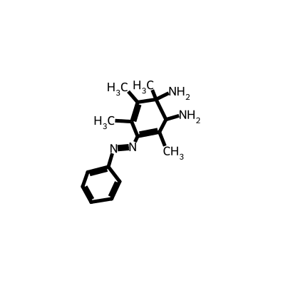 CC1=C(C)C(C)(N)C(N)C(C)=C1N=Nc1ccccc1